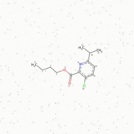 CCCCOC(=O)c1nc(C(C)C)ccc1Cl